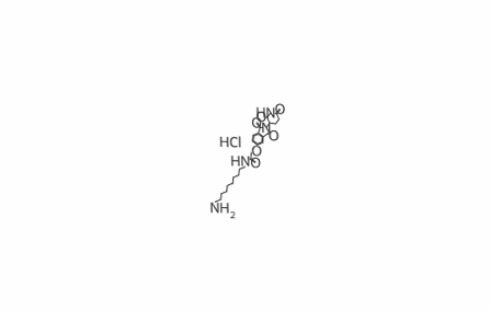 Cl.NCCCCCCCCCCNC(=O)COc1ccc2c(c1)C(=O)N(C1CCC(=O)NC1=O)C2=O